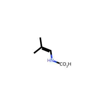 CC(C)=CNC(=O)O